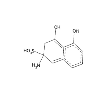 NC1(S(=O)(=O)O)C=c2cccc(O)c2=C(O)C1